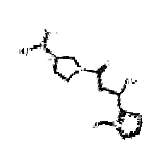 CCn1ccnc1C(CC(=O)N1CC[C@@H](N(C)C)C1)OC(C)=O